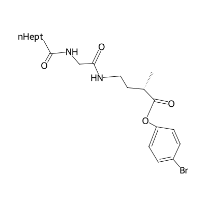 CCCCCCCC(=O)NCC(=O)NCC[C@H](C)C(=O)Oc1ccc(Br)cc1